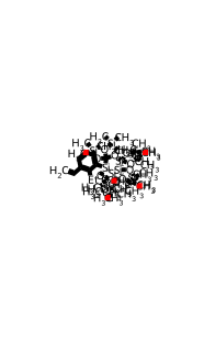 C=Cc1cccc([Si]2(O[Si](C)(C)C)C(O[Si](C)(C)C)(O[Si](C)(C)C)O[Si](O[Si](C)(C)C)(O[Si](C)(C)C)[Si](O[Si](C)(C)C)(O[Si](C)(C)C)[Si]2(O[Si](C)(C)C)O[Si](C)(C)C)c1CC